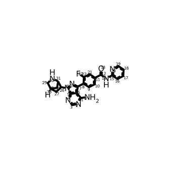 Nc1ncnc2c1c(-c1ccc(C(=O)Nc3ccccn3)cc1F)nn2C1C[C@@H]2CNC1C2